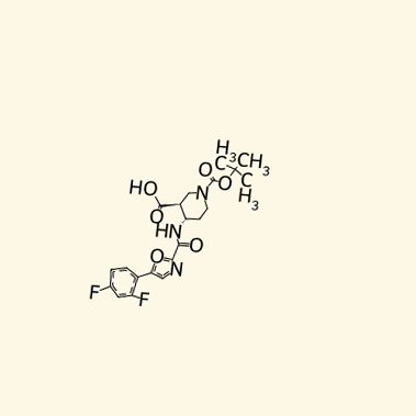 CC(C)(C)OC(=O)N1CC[C@H](NC(=O)c2ncc(-c3ccc(F)cc3F)o2)[C@@H](C(=O)O)C1